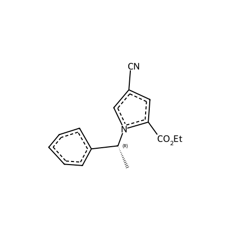 CCOC(=O)c1cc(C#N)cn1[C@H](C)c1ccccc1